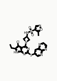 CCc1[nH]c2nc(Sc3cnc4nccnc4c3)nc(N3CC(NS(=O)(=O)c4cnoc4C)C3)c2c1Cl